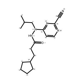 CC(C)CN(NC(=O)CCC1CCCC1)c1ccnc(C#N)n1